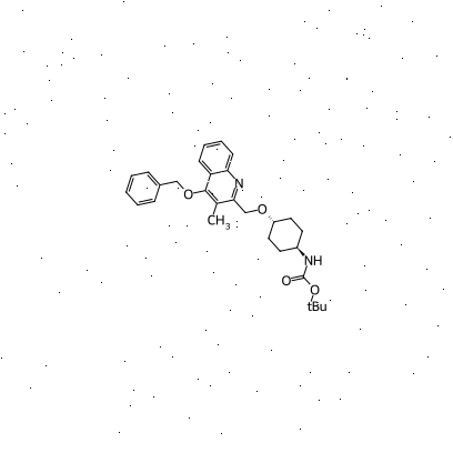 Cc1c(CO[C@H]2CC[C@H](NC(=O)OC(C)(C)C)CC2)nc2ccccc2c1OCc1ccccc1